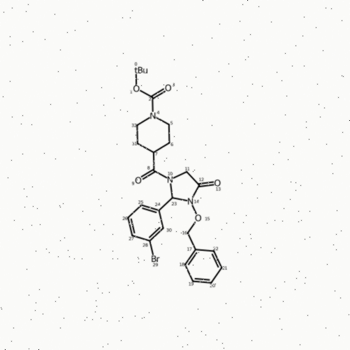 CC(C)(C)OC(=O)N1CCC(C(=O)N2CC(=O)N(OCc3ccccc3)C2c2cccc(Br)c2)CC1